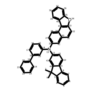 CC1(C)c2ccccc2-c2ccc(N(c3cccc(-c4ccccc4)c3)c3ccc4c(ccc5oc6ccccc6c54)c3)cc21